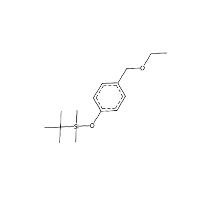 CCOCc1ccc(O[Si](C)(C)C(C)(C)C)cc1